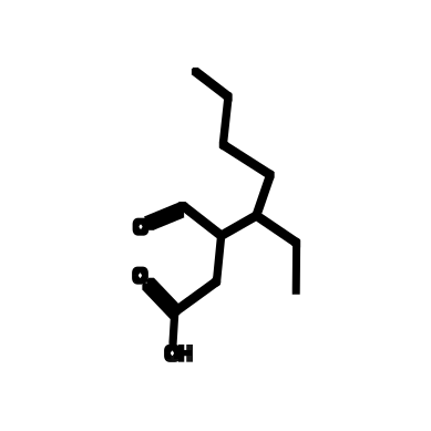 CCCCC(CC)C(C=O)CC(=O)O